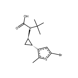 Cc1sc(Br)cc1[C@@H]1C[C@H]1N(C(=O)O)C(C)(C)C